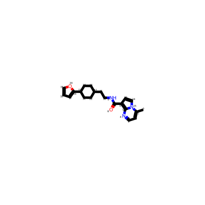 Cc1ccnc2c(C(=O)NCCC3CCC(c4ccco4)CC3)ccn12